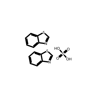 O=S(=O)(O)O.c1ccc2scnc2c1.c1ccc2scnc2c1